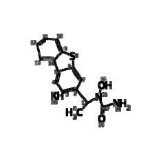 CC(c1ccc2c(c1)sc1ccccc12)N(O)C(N)=O.[KH]